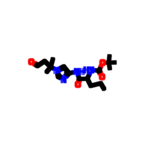 CCCC(NC(=O)OC(C)(C)C)C(=O)Nc1cn(C(C)(C)CC=O)cn1